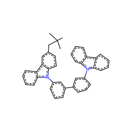 CC(C)(C)Cc1ccc2c(c1)c1ccccc1n2-c1cccc(-c2cccc(-n3c4ccccc4c4ccccc43)c2)c1